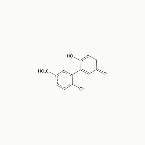 O=C1C=C(c2cc(C(=O)O)ccc2O)C(O)=CC1